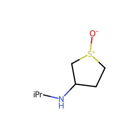 CC(C)NC1CC[S+]([O-])C1